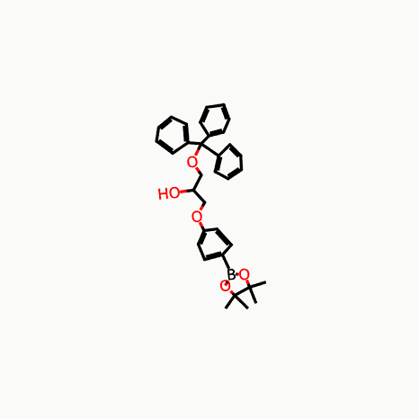 CC1(C)OB(c2ccc(OCC(O)COC(c3ccccc3)(c3ccccc3)c3ccccc3)cc2)OC1(C)C